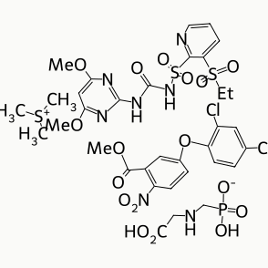 CCS(=O)(=O)c1cccnc1S(=O)(=O)NC(=O)Nc1nc(OC)cc(OC)n1.COC(=O)c1cc(Oc2ccc(Cl)cc2Cl)ccc1[N+](=O)[O-].C[S+](C)C.O=C(O)CNCP(=O)([O-])O